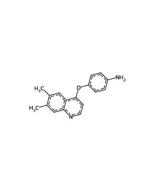 Cc1cc2nccc(Oc3ccc(N)cc3)c2cc1C